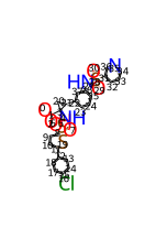 O=C(O)[C@@]1(NS(=O)(=O)c2ccc(-c3ccc(Cl)cc3)s2)C[C@H]1c1cccc(NS(=O)(=O)c2cccnc2)c1